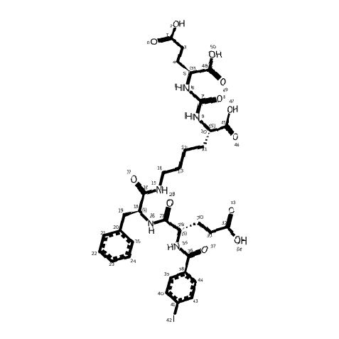 O=C(O)CC[C@H](NC(=O)N[C@@H](CCCCNC(=O)[C@H](Cc1ccccc1)NC(=O)[C@H](CCC(=O)O)NC(=O)c1ccc(I)cc1)C(=O)O)C(=O)O